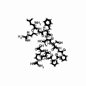 CC(C)C[C@H](N)C(=O)N[C@@H](CCCNC(=N)N)C(=O)N[C@@H](Cc1ccccc1)C(=O)N[C@H](C(=O)N[C@@H](CS)C(=O)NCC(=O)N1CCC[C@H]1C(=O)N1CCC[C@H]1C(=O)N[C@H](C(=O)N[C@@H](CCCNC(=N)N)C(=O)O)C(C)C)[C@@H](C)O